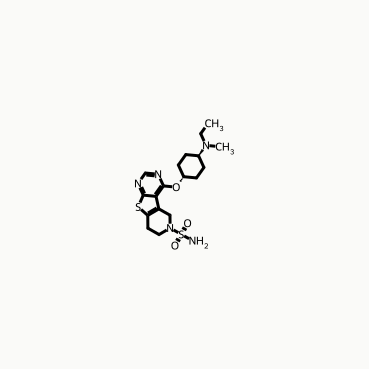 CCN(C)[C@H]1CC[C@H](Oc2ncnc3sc4c(c23)CN(S(N)(=O)=O)CC4)CC1